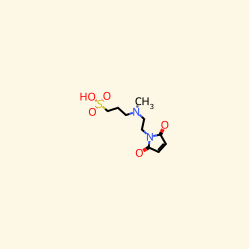 CN(CCCS(=O)(=O)O)CCN1C(=O)C=CC1=O